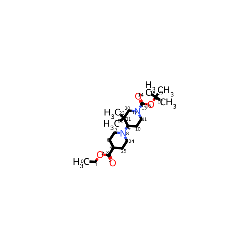 CCOC(=O)C1CCN(C2CCN(C(=O)OC(C)(C)C)CC2(C)C)CC1